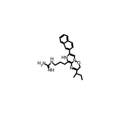 CCC(C)C1=NC2=C(CCCNC(=N)N)NC(c3ccc4ccccc4c3)=CN2OC1